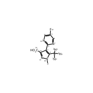 [2H]C([2H])([2H])c1c(-c2ncc(F)cn2)c(C(=O)O)nn1C